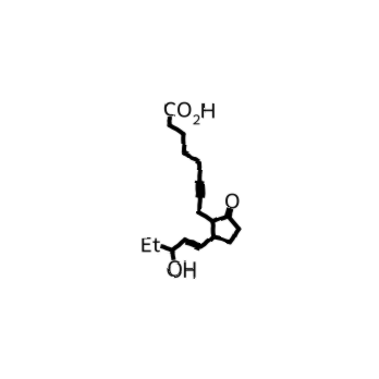 CCC(O)/C=C/C1CCC(=O)C1CC#CCCCCC(=O)O